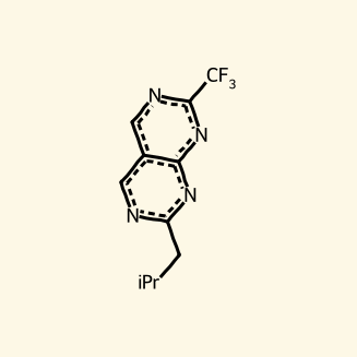 CC(C)Cc1ncc2cnc(C(F)(F)F)nc2n1